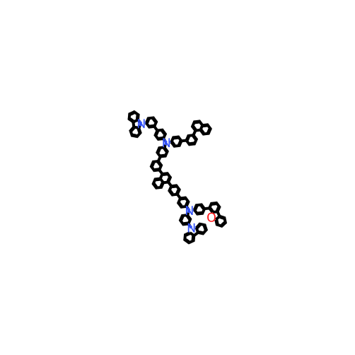 c1cc(-c2ccc(N(c3ccc(-c4cccc(-c5ccc(-c6ccc(-c7ccc(N(c8ccc(-c9cccc%10c9oc9ccccc9%10)cc8)c8cccc(-n9c%10ccccc%10c%10ccccc%109)c8)cc7)cc6)c6ccccc56)c4)cc3)c3ccc(-c4cccc(-n5c6ccccc6c6ccccc65)c4)cc3)cc2)cc(-c2cccc3ccccc23)c1